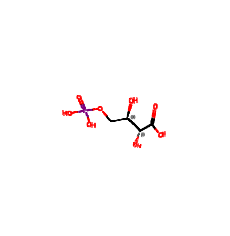 O=C(O)[C@H](O)[C@H](O)COP(=O)(O)O